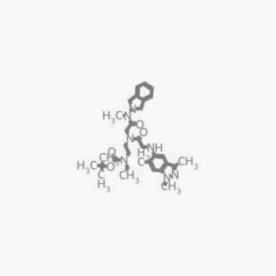 CCN(CCN(CC(=O)N(C)N1Cc2ccccc2C1)C(=O)CNc1cc2c(C)nn(C)c2cc1C)C(=O)OC(C)(C)C